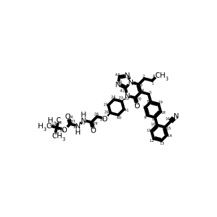 CCCc1c(Cc2ccc(-c3ccccc3C#N)cc2)c(=O)n([C@H]2CC[C@H](OCC(=O)NNC(=O)OC(C)(C)C)CC2)c2ncnn12